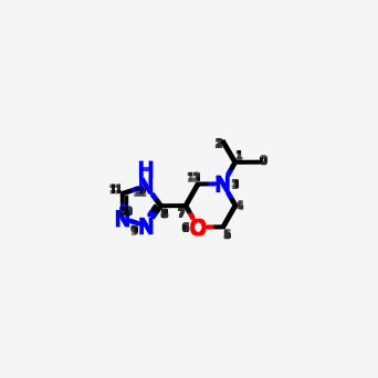 CC(C)N1CCOC(c2nnc[nH]2)C1